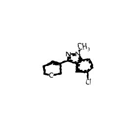 Cn1nc(C2=CCCCC2)c2cc(Cl)ccc21